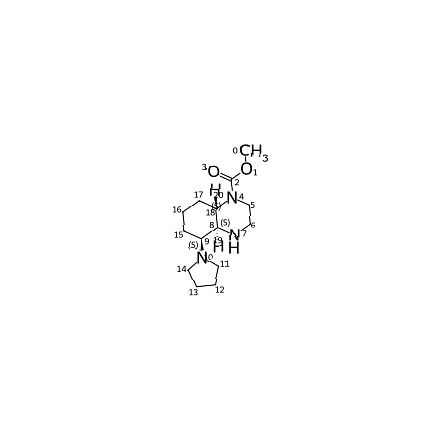 COC(=O)N1CCN[C@H]2[C@@H](N3CCCC3)CCC[C@@H]21